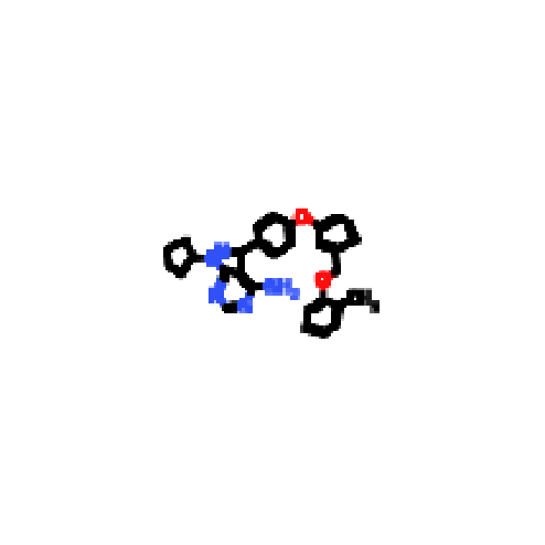 Cc1ccccc1OCc1cccc(Oc2ccc(-c3nn(C4CCCC4)c4ncnc(N)c34)cc2)c1